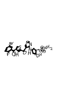 NS(=O)(=O)OC[C@H]1C[C@@H](Nc2ncncc2C(=O)c2cc([C@@H](O)c3cc(Br)ccc3F)cs2)C[C@@H]1O